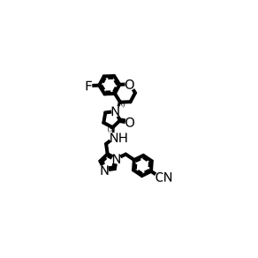 N#Cc1ccc(Cn2cncc2CN[C@H]2CCN([C@@H]3CCOc4ccc(F)cc43)C2=O)cc1